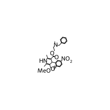 COC(=O)C1=C(C)NC(C)=C(C(=O)OCCN(C)Cc2ccccc2)C1c1cc([N+](=O)[O-])ccc1F